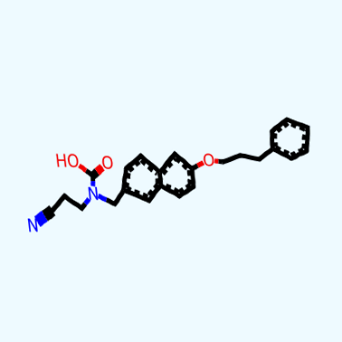 N#CCCN(Cc1ccc2cc(OCCCc3ccccc3)ccc2c1)C(=O)O